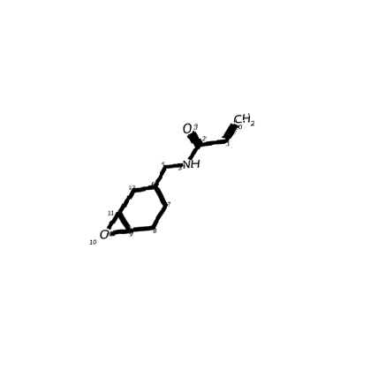 C=CC(=O)NCC1CCC2OC2C1